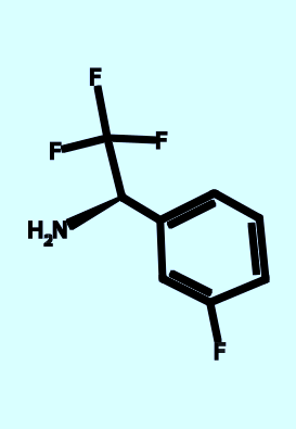 N[C@H](c1cccc(F)c1)C(F)(F)F